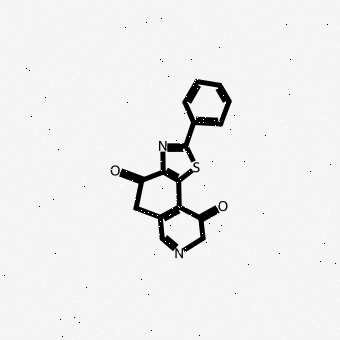 O=C1CN=CC2=C1c1sc(-c3ccccc3)nc1C(=O)C2